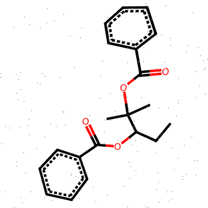 CCC(OC(=O)c1ccccc1)C(C)(C)OC(=O)c1ccccc1